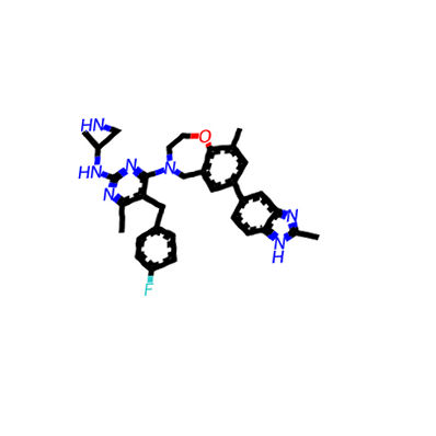 Cc1nc2cc(-c3cc(C)c4c(c3)CN(c3nc(NC5CNC5)nc(C)c3Cc3ccc(F)cc3)CCO4)ccc2[nH]1